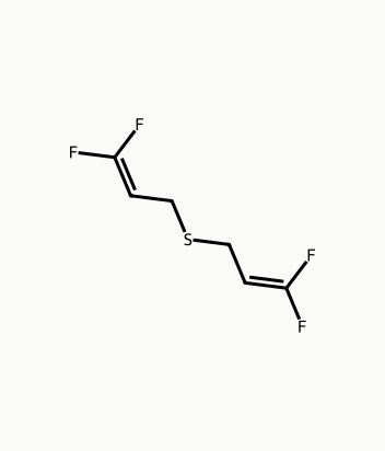 FC(F)=CCSCC=C(F)F